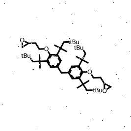 CC(C)(C)CC(C)(C)c1cc(Cc2cc(C(C)(C)CC(C)(C)C)c(OCCC3CO3)c(C(C)(C)CC(C)(C)C)c2)cc(C(C)(C)CC(C)(C)C)c1OCCC1CO1